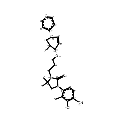 Cc1c(N2CC(C)(C)N(CCCO[C@H]3C=C[C@@H](c4ccncc4)CC3F)C2=S)ccc(C#N)c1Cl